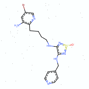 Nc1cc(Br)cnc1CCCCNc1n[s+]([O-])nc1NCc1ccncc1